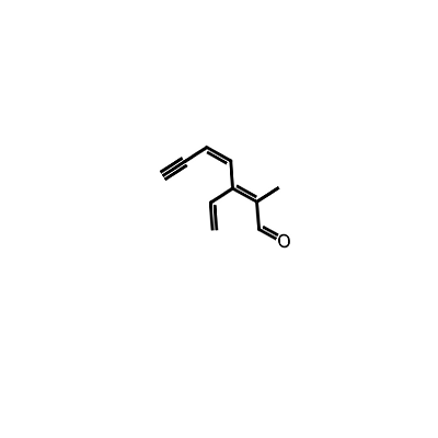 C#C/C=C\C(C=C)=C(/C)C=O